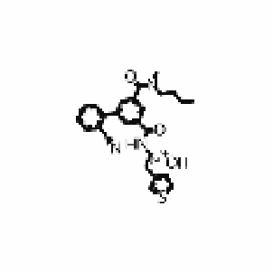 CCCCN(C)C(=O)c1cc(C(=O)N[C@H](CO)Cc2ccsc2)cc(-c2ccccc2C#N)c1